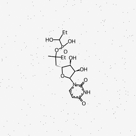 CCC(O)P(=O)(O)OC(C)(CC)C[C@H]1OC(n2ccc(=O)[nH]c2=O)[C@H](O)[C@@H]1O